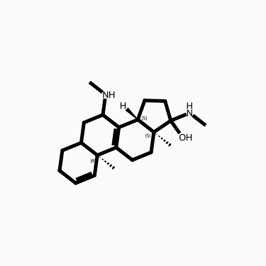 CNC1CC2CCC=C[C@]2(C)C2=C1[C@@H]1CCC(O)(NC)[C@@]1(C)CC2